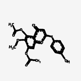 COc1c(OC(C)=O)cc2oc(Sc3ccc(O)cc3)cc(=O)c2c1OC(C)=O